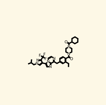 CCc1cc(Cc2nccn3c(-c4cn(CC(C)C)nc4C(F)(F)F)cnc23)ccc1C(=O)N1CCN(C(=O)C2CCCCC2)CC1